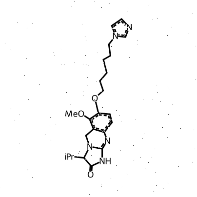 COc1c(OCCCCCCn2ccnc2)ccc2c1CN1C(=N2)NC(=O)C1C(C)C